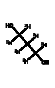 [2H]C([2H])(O)C([2H])([2H])C([2H])([2H])O